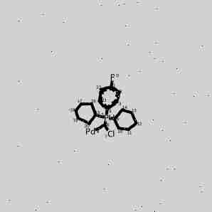 Fc1ccc([PH]([CH](Cl)[Pd])(C2CCCCC2)C2CCCCC2)cc1